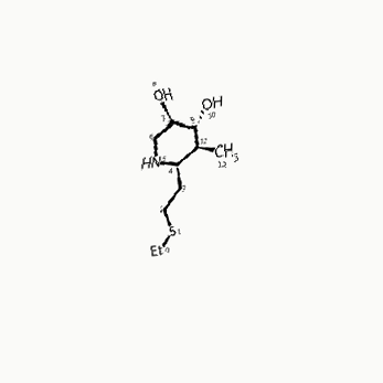 CCSCC[C@H]1NC[C@@H](O)[C@H](O)[C@H]1C